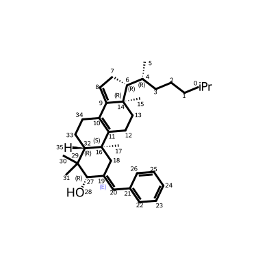 CC(C)CCC[C@@H](C)[C@H]1CC=C2C3=C(CC[C@@]21C)[C@@]1(C)C/C(=C\c2ccccc2)[C@H](O)C(C)(C)[C@@H]1CC3